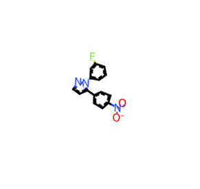 O=[N+]([O-])c1ccc(-c2ccnn2-c2cccc(F)c2)cc1